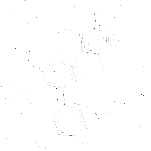 Clc1nc(-c2cccc(-c3ccccc3)c2)c(Cl)[nH]1